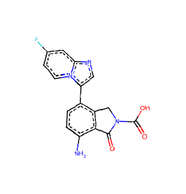 Nc1ccc(-c2cnc3cc(F)ccn23)c2c1C(=O)N(C(=O)O)C2